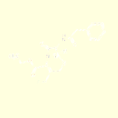 O=C(Cc1ccccc1)NC1C(=O)N2C(C(=O)OCC(Cl)(Cl)Cl)=C(CF)CS[C@H]12